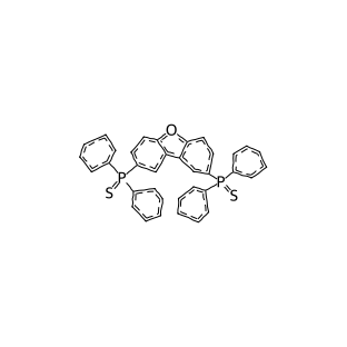 S=P(c1ccccc1)(c1ccccc1)c1ccc2oc3ccc(P(=S)(c4ccccc4)c4ccccc4)cc3c2c1